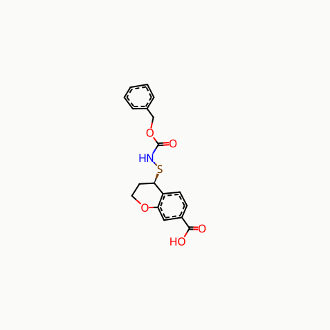 O=C(NS[C@@H]1CCOc2cc(C(=O)O)ccc21)OCc1ccccc1